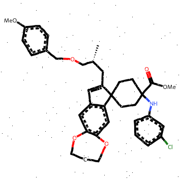 COC(=O)C1(Nc2cccc(Cl)c2)CCC2(CC1)C(C[C@@H](C)COCc1ccc(OC)cc1)=Cc1cc3c(cc12)OCCCO3